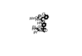 CCNC(=O)[C@H](NC(=O)C1(c2ccc3nc([C@@H](NC(=O)OC)[C@H](c4ccccc4Cl)C(C)C)[nH]c3c2)CCOC1)C(C)C